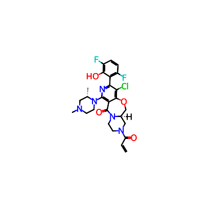 C=CC(=O)N1CCN2C(=O)c3c(N4CCN(C)C[C@@H]4C)nc(-c4c(F)ccc(F)c4O)c(Cl)c3OC[C@H]2C1